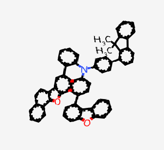 CC1(C)c2ccccc2-c2cccc(-c3ccc(N(c4ccc(-c5cccc6oc7ccccc7c56)cc4)c4ccccc4-c4ccc5oc6c7ccccc7ccc6c5c4)cc3)c21